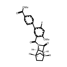 COC(=O)c1ccc(-c2cc(C(=O)N3C(=O)[C@H]4[C@@H]5CC[C@@H](C5)[C@H]43)c(OC)cc2F)cc1